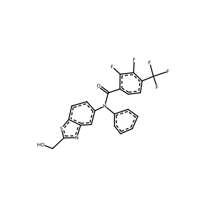 O=C(c1ccc(C(F)(F)F)c(F)c1F)N(c1ccccc1)c1ccc2sc(CO)nc2c1